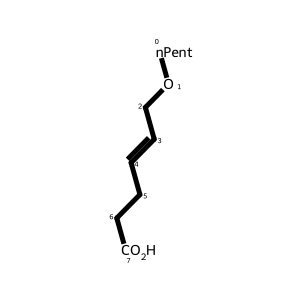 CCCCCOCC=CCCC(=O)O